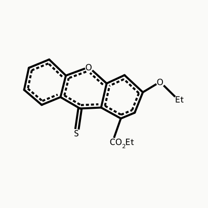 CCOC(=O)c1cc(OCC)cc2oc3ccccc3c(=S)c12